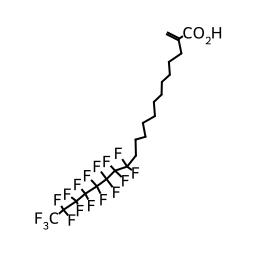 C=C(CCCCCCCCCCCC(F)(F)C(F)(F)C(F)(F)C(F)(F)C(F)(F)C(F)(F)C(F)(F)C(F)(F)F)C(=O)O